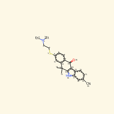 CCN(CC)CCSc1ccc2c(c1)C(C)(C)c1[nH]c3cc(C#N)ccc3c1C2=O